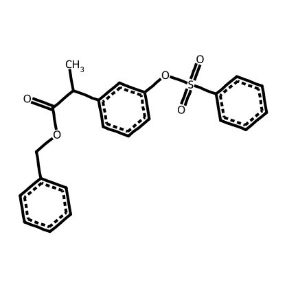 CC(C(=O)OCc1ccccc1)c1cccc(OS(=O)(=O)c2ccccc2)c1